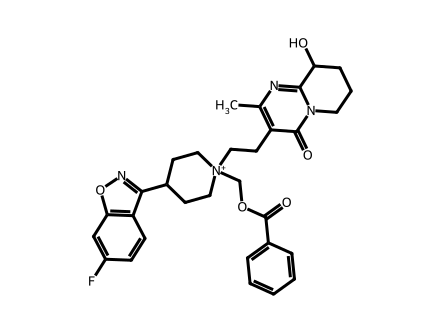 Cc1nc2n(c(=O)c1CC[N+]1(COC(=O)c3ccccc3)CCC(c3noc4cc(F)ccc34)CC1)CCCC2O